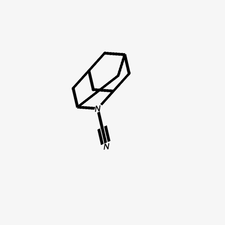 N#CN1C2CC3CC(C2)CC1C3